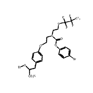 CCOC(Cc1ccc(OCCN(CCOC(F)(F)C(F)(F)C(F)(F)F)C(=O)Oc2ccc(Br)cc2)cc1)C(=O)O